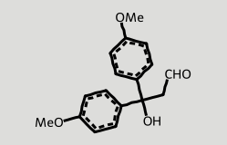 COc1ccc(C(O)(CC=O)c2ccc(OC)cc2)cc1